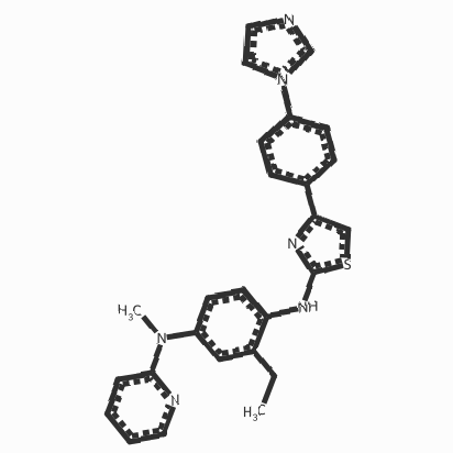 CCc1cc(N(C)c2ccccn2)ccc1Nc1nc(-c2ccc(-n3ccnc3)cc2)cs1